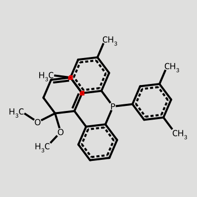 COC1(OC)CC=CC=C1c1ccccc1P(c1cc(C)cc(C)c1)c1cc(C)cc(C)c1